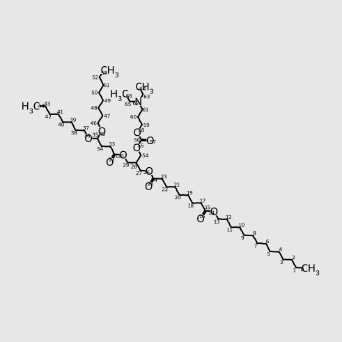 CCCCCCCCCCCCCCOC(=O)CCCCCCCC(=O)OCC(COC(=O)CCC(OCCCCCCCC)OCCCCCCCC)COC(=O)OCCCN(CC)CC